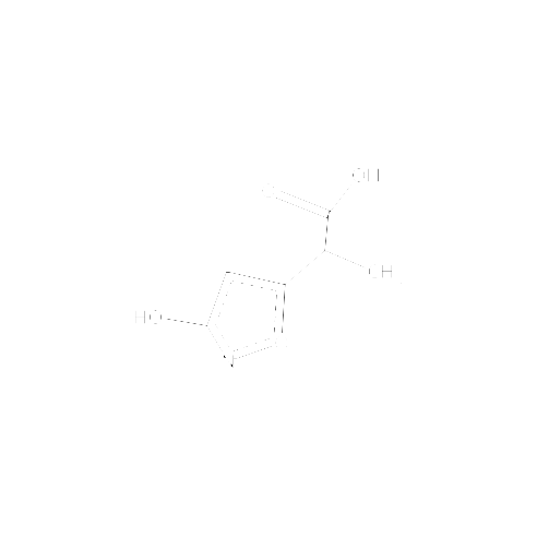 CC(C(=O)O)c1cc(O)no1